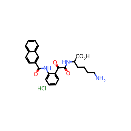 Cl.NCCCCC(NC(=O)C(=O)c1ccccc1NC(=O)c1ccc2ccccc2c1)C(=O)O